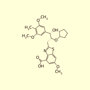 COc1cc(C(=O)O)c2nc(C[C@@H](OC3CCCC3)[C@@H](O)c3cc(OC)c(C)c(OC)c3)sc2c1